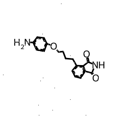 Nc1ccc(OCCCCc2cccc3c2C(=O)NC3=O)cc1